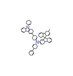 CC1C=CC(C2(C3CC=CCC3)C3=CC(N(C4=CCC(C5=CC6=C(CC5)N(C5=CCCCC5)C5C=CC=CC65)CC4)C4C=CC(C5=CCCC=C5)CC4)=CCC3C3C=CC=CC32)C(C)C1